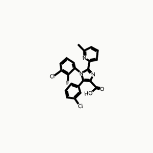 Cc1cccc(-c2nc(C(=O)O)c(-c3cccc(Cl)c3)n2-c2cccc(Cl)c2F)n1